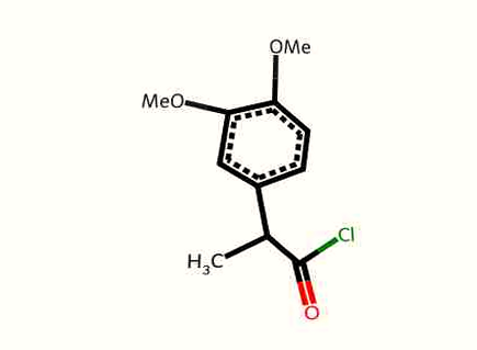 COc1ccc(C(C)C(=O)Cl)cc1OC